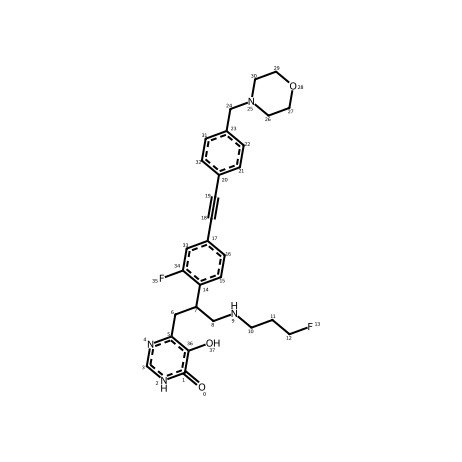 O=c1[nH]cnc(CC(CNCCCF)c2ccc(C#Cc3ccc(CN4CCOCC4)cc3)cc2F)c1O